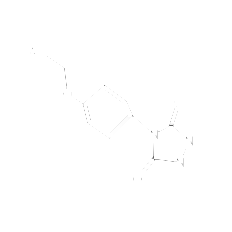 CC(=O)COc1ccc(-n2c(=O)[nH][nH]c2=O)cc1